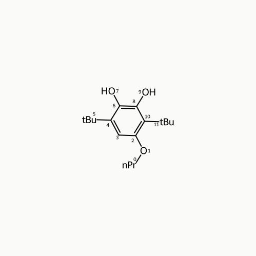 CCCOc1cc(C(C)(C)C)c(O)c(O)c1C(C)(C)C